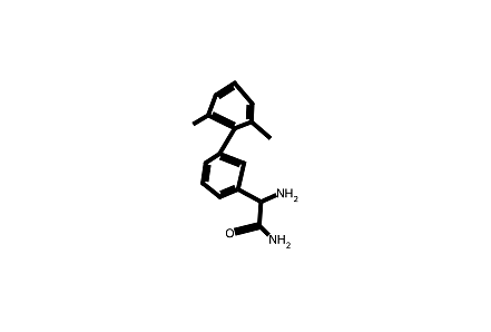 Cc1cccc(C)c1-c1cccc(C(N)C(N)=O)c1